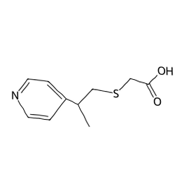 CC(CSCC(=O)O)c1ccncc1